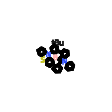 CC(C)(C)c1cc2c3c(c1)N1c4ccccc4Sc4cccc(c41)B3c1c(-c3ccccc3)n(-c3ccccc3)c3cccc-2c13